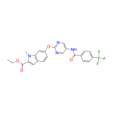 CCOC(=O)c1cc2ccc(Oc3ncc(NC(=O)c4ccc(C(F)(F)F)cc4)cn3)cc2n1C